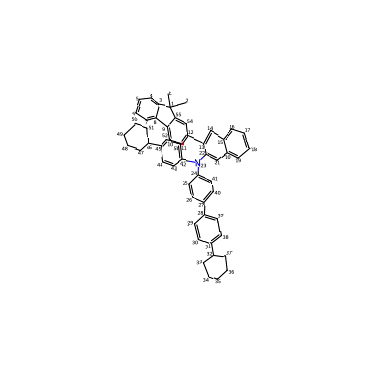 CC1(C)c2ccccc2-c2ccc(-c3cc4ccccc4cc3N(c3ccc(-c4ccc(C5CCCCC5)cc4)cc3)c3ccc(C4CCCCC4)cc3)cc21